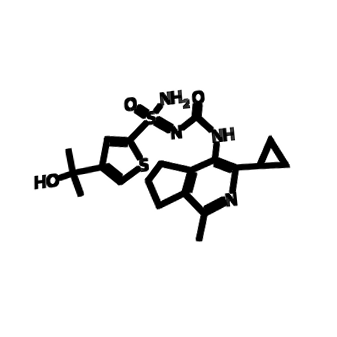 Cc1nc(C2CC2)c(NC(=O)N=S(N)(=O)c2cc(C(C)(C)O)cs2)c2c1CCC2